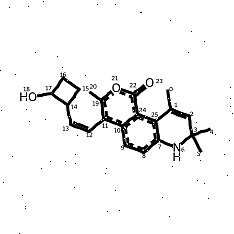 CC1=CC(C)(C)Nc2ccc3c(/C=C\C4CCC4O)c(C)oc(=O)c3c21